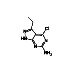 CCc1n[nH]c2nc(N)nc(Cl)c12